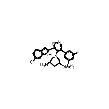 COC1CC(N)CN(c2c(-c3cc(C)cc(F)c3)cnnc2-c2cc3ccc(Cl)cc3[nH]2)C1